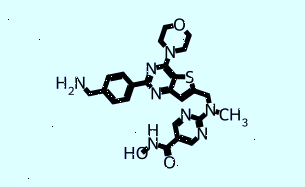 CN(Cc1cc2nc(-c3ccc(CN)cc3)nc(N3CCOCC3)c2s1)c1ncc(C(=O)NO)cn1